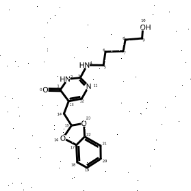 O=c1[nH]c(NCCCCCO)ncc1CC1Oc2ccccc2O1